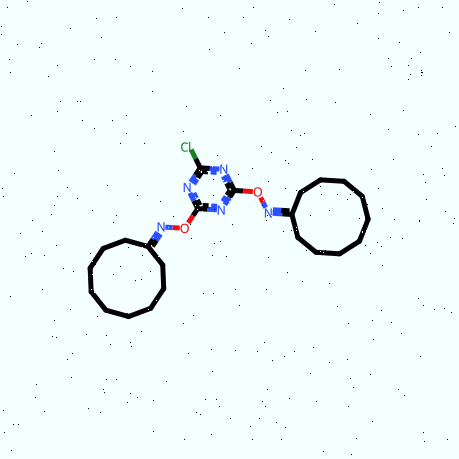 Clc1nc(ON=C2CCCCCCCCC2)nc(ON=C2CCCCCCCCC2)n1